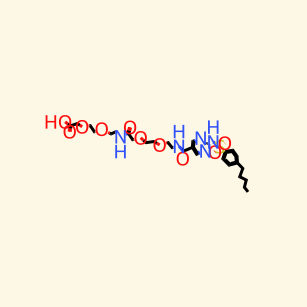 CCCCCc1ccc(S(=O)(=O)Nc2ncc(C(=O)NCCOCCOCC(=O)NCCOCCOCC(=O)O)cn2)cc1